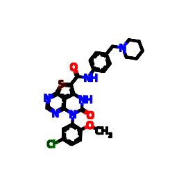 COc1ccc(Cl)cc1N1C(=O)Nc2c(C(=O)Nc3ccc(CN4CCCCC4)cc3)sc3ncnc1c23